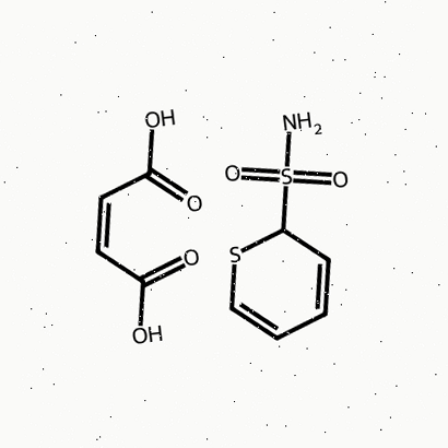 NS(=O)(=O)C1C=CC=CS1.O=C(O)/C=C\C(=O)O